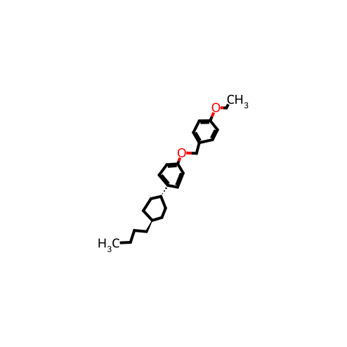 CCCC[C@H]1CC[C@H](c2ccc(OCc3ccc(OCC)cc3)cc2)CC1